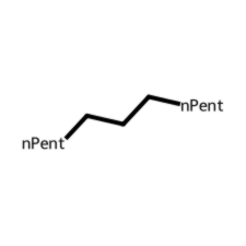 [CH]CCCCCCCCCCC[CH2]